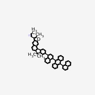 C/C=C\c1c(C)oc2cc3c4c(ccc3cc12)C(C)(C)c1cc(-c2ccc(-c3c5ccccc5c(-c5cccc6ccccc56)c5ccccc35)c3ccccc23)ccc1-4